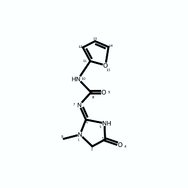 CN1CC(=O)NC1=NC(=O)Nc1ccco1